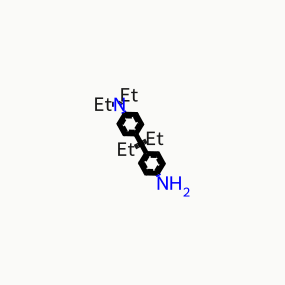 CCN(CC)c1ccc(C(CC)(CC)c2ccc(N)cc2)cc1